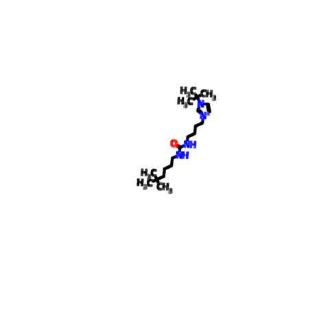 CC(C)(C)CCCCNC(=O)NCCCC[n+]1ccn(C(C)(C)C)c1